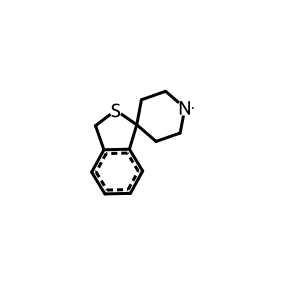 c1ccc2c(c1)CSC21CC[N]CC1